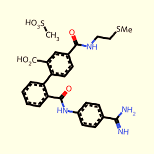 CS(=O)(=O)O.CSCCNC(=O)c1ccc(-c2ccccc2C(=O)Nc2ccc(C(=N)N)cc2)c(C(=O)O)c1